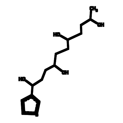 CC(O)CCC(O)CCC(O)CCC(O)c1ccsc1